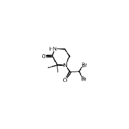 CC1(C)C(=O)NCCN1C(=O)C(Br)Br